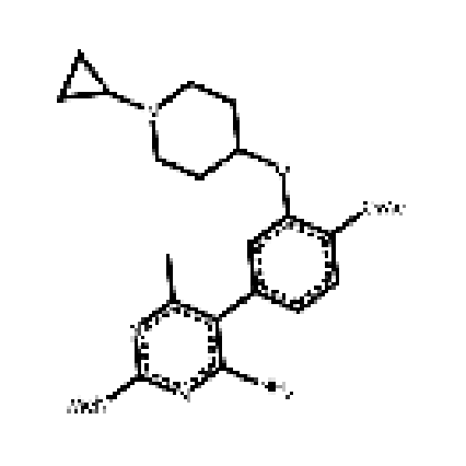 CNc1nc(C)c(-c2ccc(OC)c(OC3CCN(C4CC4)CC3)c2)c(N)n1